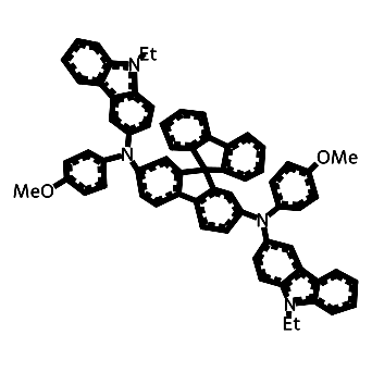 CCn1c2ccccc2c2cc(N(c3ccc(OC)cc3)c3ccc4c(c3)C3(c5ccccc5-c5ccccc53)c3cc(N(c5ccc(OC)cc5)c5ccc6c(c5)c5ccccc5n6CC)ccc3-4)ccc21